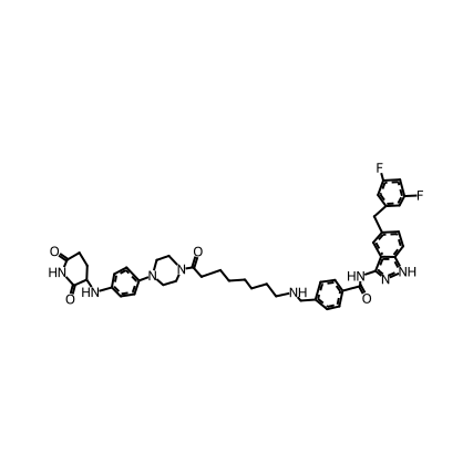 O=C1CCC(Nc2ccc(N3CCN(C(=O)CCCCCCCNCc4ccc(C(=O)Nc5n[nH]c6ccc(Cc7cc(F)cc(F)c7)cc56)cc4)CC3)cc2)C(=O)N1